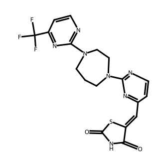 O=C1NC(=O)C(=Cc2ccnc(N3CCCN(c4nccc(C(F)(F)F)n4)CC3)n2)S1